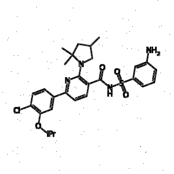 CC1CN(c2nc(-c3ccc(Cl)c(OC(C)C)c3)ccc2C(=O)NS(=O)(=O)c2cccc(N)c2)C(C)(C)C1